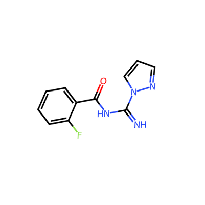 N=C(NC(=O)c1ccccc1F)n1cccn1